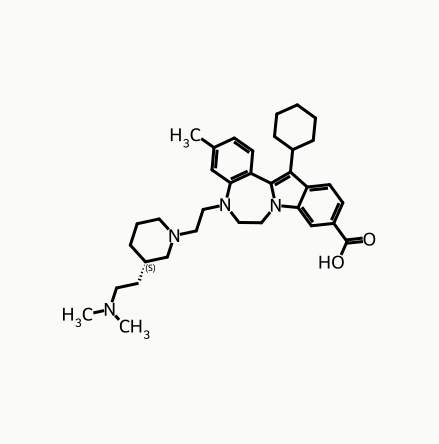 Cc1ccc2c(c1)N(CCN1CCC[C@@H](CCN(C)C)C1)CCn1c-2c(C2CCCCC2)c2ccc(C(=O)O)cc21